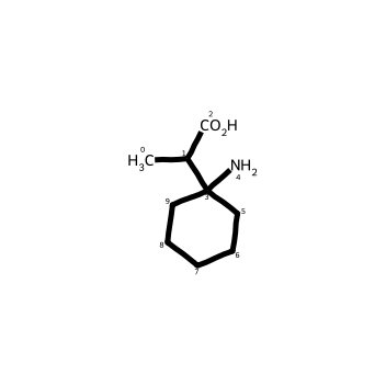 CC(C(=O)O)C1(N)CCCCC1